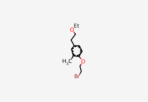 CCOCCc1ccc(OCCBr)c(C)c1